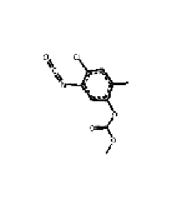 COC(=O)Oc1cc(N=C=O)c(Cl)cc1C